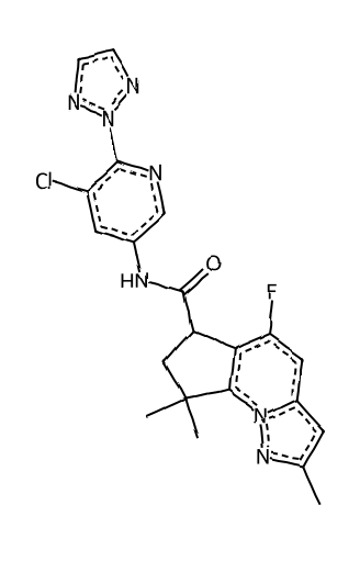 Cc1cc2cc(F)c3c(n2n1)C(C)(C)CC3C(=O)Nc1cnc(-n2nccn2)c(Cl)c1